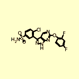 NS(=O)(=O)c1ccc(Cl)c(-c2n[nH]c3nc(Oc4ccc(F)cc4F)ncc23)c1